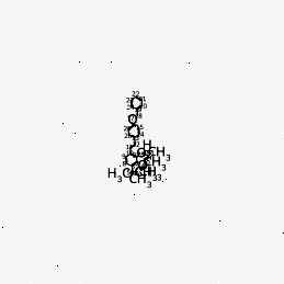 COc1c(C(C)(C)C)ccc(C=Cc2ccc(OCc3ccccc3)cc2)c1O[SiH](C)C